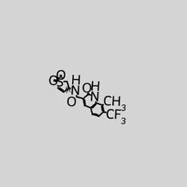 Cc1c(C(F)(F)F)ccc2cc(C(=O)N[C@@H]3C=CS(=O)(=O)C3)c(=O)[nH]c12